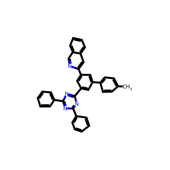 Cc1ccc(-c2cc(-c3cc4ccccc4cn3)cc(-c3nc(-c4ccccc4)nc(-c4ccccc4)n3)c2)cc1